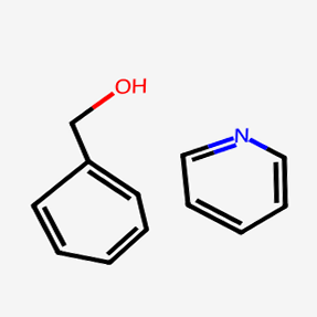 OCc1ccccc1.c1ccncc1